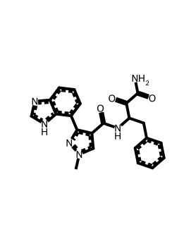 Cn1cc(C(=O)NC(Cc2ccccc2)C(=O)C(N)=O)c(-c2cccc3nc[nH]c23)n1